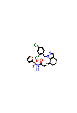 O=C(C=C=C1CCCc2cnn(Cc3ccc(Cl)cc3Cl)c21)NS(=O)(=O)c1cccs1